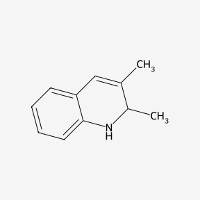 CC1=Cc2ccccc2NC1C